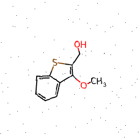 COc1c(CO)sc2ccccc12